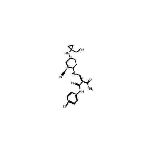 N#C[C@H]1C[C@@H](NC2(CO)CC2)CCC1N/C=C(\C(=N)Nc1ccc(Cl)cc1)C(N)=O